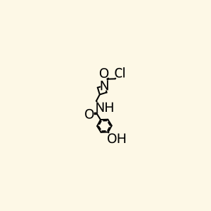 O=C(NCC1CN(C(=O)CCl)C1)c1ccc(O)cc1